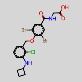 O=C(O)CNC(=O)c1cc(Br)c(OCc2cccc(NC3CCC3)c2Cl)c(Br)c1